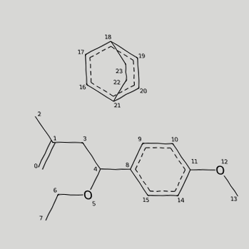 C=C(C)CC(OCC)c1ccc(OC)cc1.c1cc2ccc1CC2